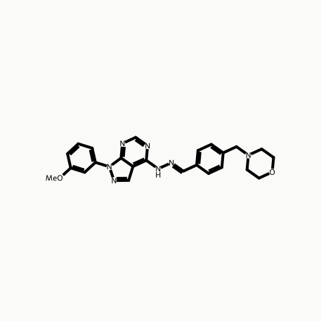 COc1cccc(-n2ncc3c(N/N=C/c4ccc(CN5CCOCC5)cc4)ncnc32)c1